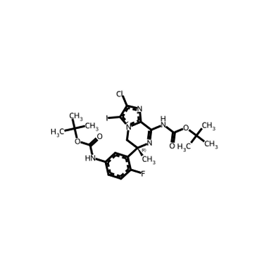 CC(C)(C)OC(=O)NC1=N[C@](C)(c2cc(NC(=O)OC(C)(C)C)ccc2F)Cn2c1nc(Cl)c2I